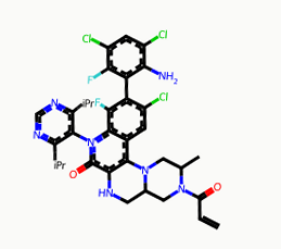 C=CC(=O)N1CC2CNc3c(c4cc(Cl)c(-c5c(N)c(Cl)cc(Cl)c5F)c(F)c4n(-c4c(C(C)C)ncnc4C(C)C)c3=O)N2CC1C